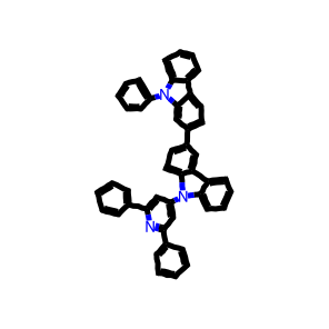 c1ccc(-c2cc(-n3c4ccccc4c4cc(-c5ccc6c7ccccc7n(-c7ccccc7)c6c5)ccc43)cc(-c3ccccc3)n2)cc1